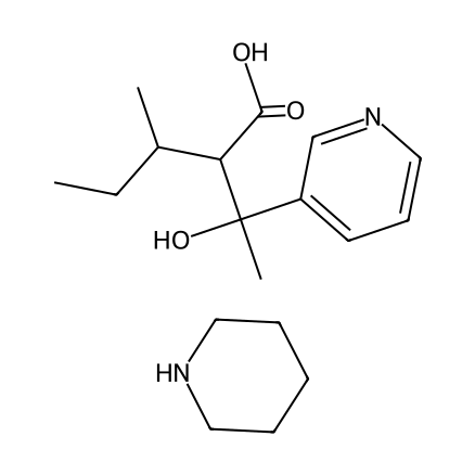 C1CCNCC1.CCC(C)C(C(=O)O)C(C)(O)c1cccnc1